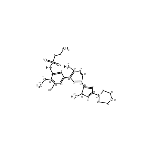 CCCS(=O)(=O)Nc1cc(-c2cc(-c3cc(N4CCOCC4)nn3C)cnc2N)cc(F)c1OC